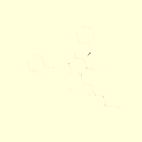 CN(C)C(=O)NCC(C=O)NC(=O)[C@H](CC1CCCCC1)NC(=O)OCc1cccc(Cl)c1